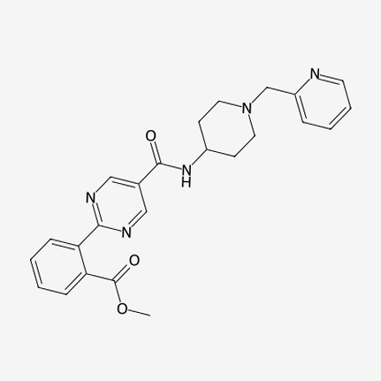 COC(=O)c1ccccc1-c1ncc(C(=O)NC2CCN(Cc3ccccn3)CC2)cn1